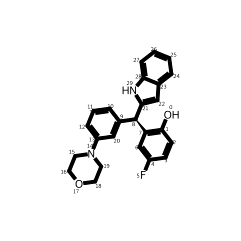 Oc1ccc(F)cc1[C@@H](c1c[c]cc(N2CCOCC2)c1)c1cc2ccccc2[nH]1